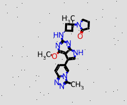 COc1nc(N[C@H]2C[C@](C)(N3CCCC3=O)C2)nc2[nH]cc(-c3ccc4nnc(C)n4c3)c12